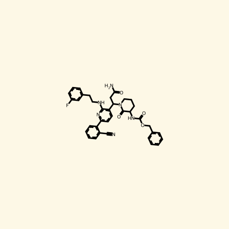 N#Cc1ccccc1-c1ccc(C(CC(N)=O)N2CCCC(NC(=O)OCc3ccccc3)C2=O)c(NCCc2cccc(F)c2)n1